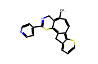 CC1=C2CN=C(c3ccncc3)SC2=C2CC3=CC=CSC3=C2C=C1